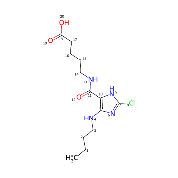 CCCCNc1nc(Cl)[nH]c1C(=O)NCCCCC(=O)O